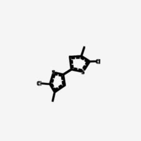 Cc1cc(-c2cc(C)c(Cl)s2)sc1Cl